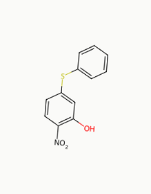 O=[N+]([O-])c1ccc(Sc2ccccc2)cc1O